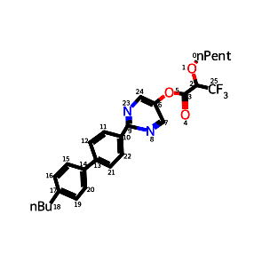 CCCCCOC(C(=O)Oc1cnc(-c2ccc(-c3ccc(CCCC)cc3)cc2)nc1)C(F)(F)F